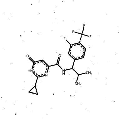 CC(C)C(NC(=O)c1cc(=O)[nH]c(C2CC2)n1)c1ccc(C(F)(F)F)c(F)c1